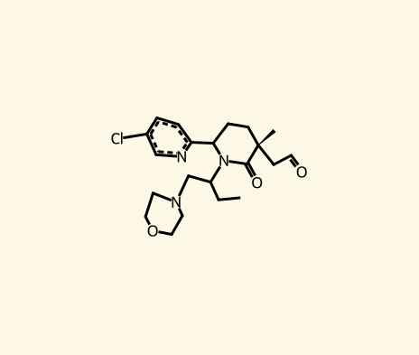 CCC(CN1CCOCC1)N1C(=O)[C@@](C)(CC=O)CCC1c1ccc(Cl)cn1